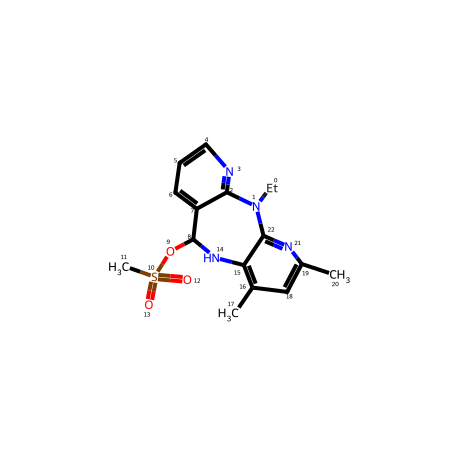 CCN1c2ncccc2C(OS(C)(=O)=O)Nc2c(C)cc(C)nc21